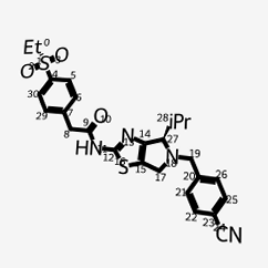 CCS(=O)(=O)c1ccc(CC(=O)Nc2nc3c(s2)CN(Cc2ccc(C#N)cc2)[C@@H]3C(C)C)cc1